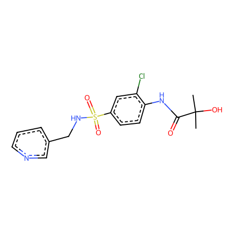 CC(C)(O)C(=O)Nc1ccc(S(=O)(=O)NCc2cccnc2)cc1Cl